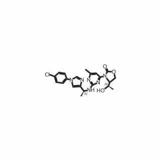 Cc1cc(N2C(=O)OCC2[C@@H](C)O)nc(N[C@@H](C)c2cn(-c3ccc(Cl)cc3)cn2)n1